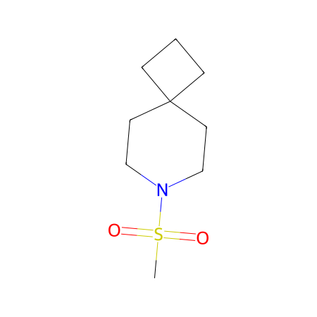 CS(=O)(=O)N1CCC2(CCC2)CC1